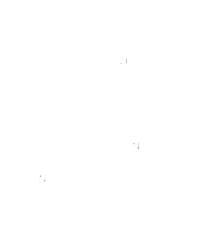 Brc1ccc2c(c1)c(CCc1ccccn1)cn2-c1ccccc1